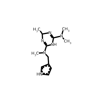 CC1N=C(N(C)C)NC(N(C)Cc2cc[nH]c2)=N1